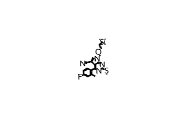 CSc1nc(-c2ccc(F)cc2C)c2c(C#N)cn(COCC[Si](C)(C)C)c2n1